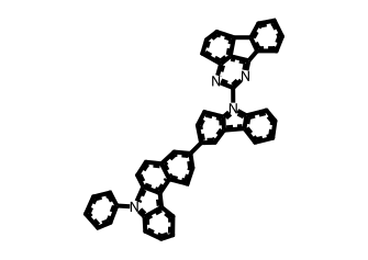 c1ccc(-n2c3ccccc3c3c4ccc(-c5ccc6c(c5)c5ccccc5n6-c5nc6c7c(cccc7n5)-c5ccccc5-6)cc4ccc32)cc1